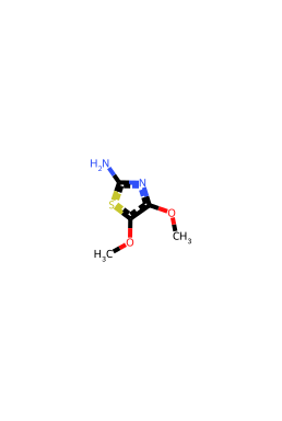 COc1nc(N)sc1OC